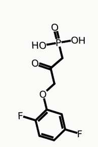 O=C(COc1cc(F)ccc1F)CP(=O)(O)O